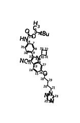 CC(OC(=O)Nc1ccc(-c2c(C#N)c3ccc(OCCCCn4cncn4)cc3n2C2CCC2)cc1)C(C)(C)C